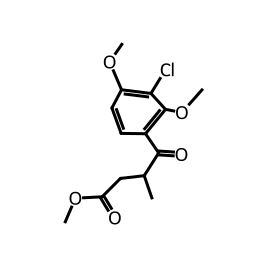 COC(=O)CC(C)C(=O)c1ccc(OC)c(Cl)c1OC